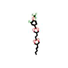 CCCC=CC1COC(CCC2COC(c3ccc(OC(F)(F)F)c(F)c3)OC2)OC1